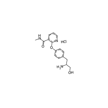 CNC(=O)c1cccnc1Oc1ccc(CC(N)CO)cc1.Cl